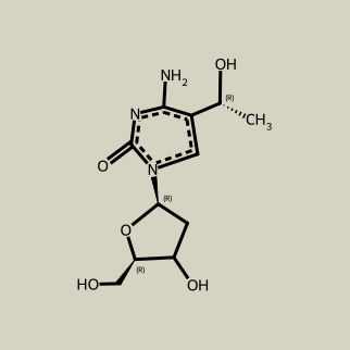 C[C@@H](O)c1cn([C@H]2CC(O)[C@@H](CO)O2)c(=O)nc1N